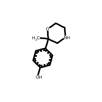 CC1(c2ccc(O)cc2)CNCCO1